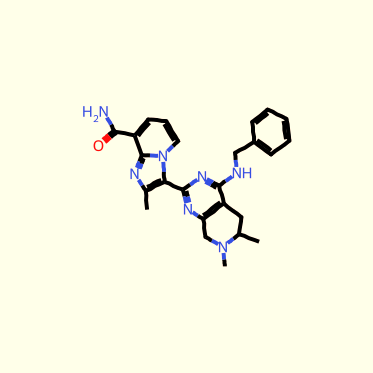 Cc1nc2c(C(N)=O)cccn2c1-c1nc2c(c(NCc3ccccc3)n1)CC(C)N(C)C2